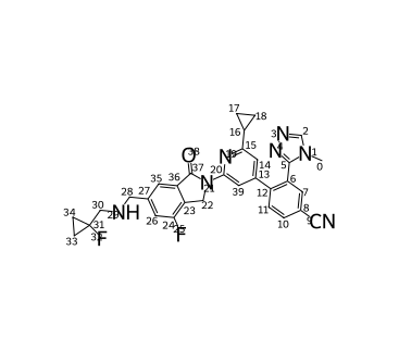 Cn1cnnc1-c1cc(C#N)ccc1-c1cc(C2CC2)nc(N2Cc3c(F)cc(CNCC4(F)CC4)cc3C2=O)c1